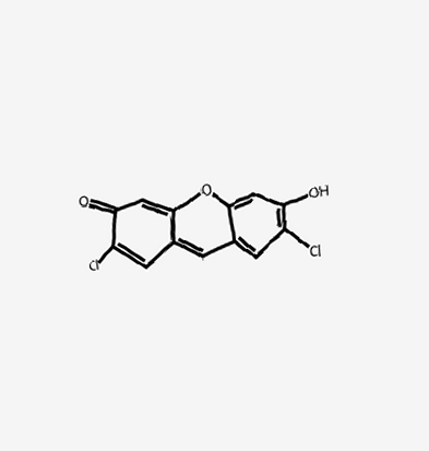 O=c1cc2oc3cc(O)c(Cl)cc3[c]c-2cc1Cl